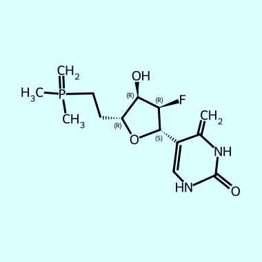 C=C1NC(=O)NC=C1[C@@H]1O[C@H](CCP(=C)(C)C)[C@@H](O)[C@H]1F